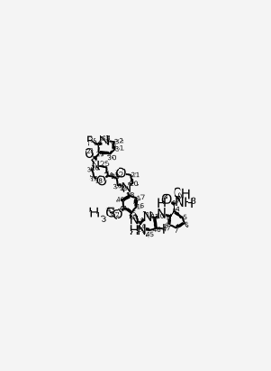 CNC(=O)c1ccccc1Nc1nc(Nc2ccc(N3CCOC(C4CN(C(=O)c5cccnc5F)CCO4)C3)cc2OC)ncc1I